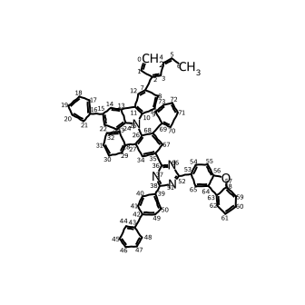 C=C/C(=C\C=C/C)c1ccc2c(c1)c1cc(-c3ccccc3)ccc1n2-c1c(-c2ccccc2)cc(-c2nc(-c3ccc(-c4ccccc4)cc3)nc(-c3ccc4oc5ccccc5c4c3)n2)cc1-c1ccccc1